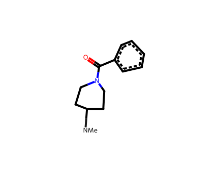 CNC1CCN(C(=O)c2ccccc2)CC1